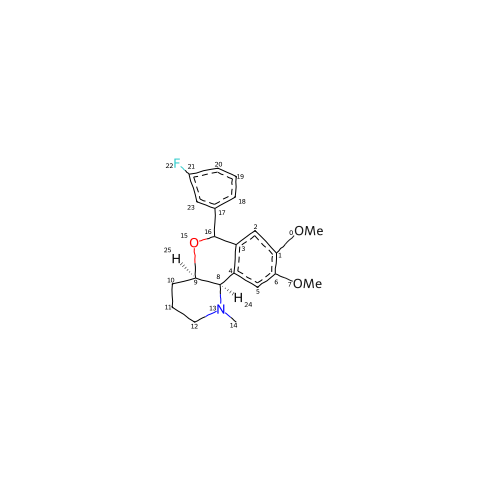 COc1cc2c(cc1OC)[C@@H]1[C@@H](CCCN1C)OC2c1cccc(F)c1